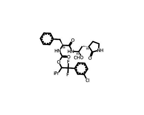 CC(C)C(OC(=O)N[C@@H](Cc1ccccc1)C(=O)N[C@H](C=O)C[C@@H]1CCNC1=O)C(F)(F)c1cccc(Cl)c1